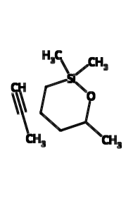 C#CC.CC1CCC[Si](C)(C)O1